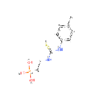 Cc1ccc(NC(=S)NCCP(=O)(O)O)cc1